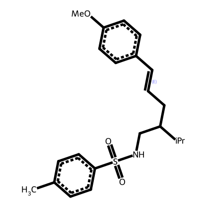 COc1ccc(/C=C/CC(CNS(=O)(=O)c2ccc(C)cc2)C(C)C)cc1